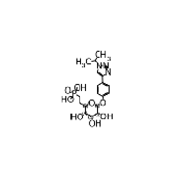 CC(C)n1cc(-c2ccc(O[C@H]3O[C@H](CCP(=O)(O)O)[C@@H](O)[C@H](O)[C@@H]3O)cc2)nn1